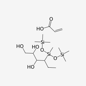 C=CC(=O)O.CCC(C(O)C(O)CO)[Si](C)(O[Si](C)(C)C)O[Si](C)(C)C